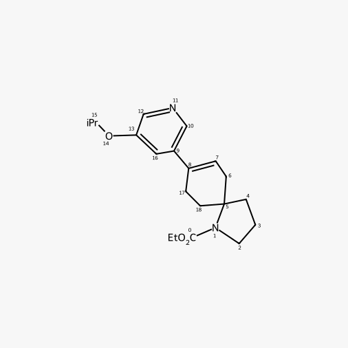 CCOC(=O)N1CCCC12CC=C(c1cncc(OC(C)C)c1)CC2